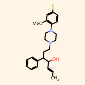 C/C=C/C(O)C(CCN1CCN(c2ccc(F)cc2OC)CC1)c1ccccc1